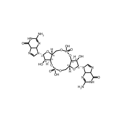 NC1=NC2C(N=CN2[C@@H]2O[C@@H]3COP(=O)(O)O[C@H]4[C@@H](O)[C@H](N5C=NC6C(=O)NC(N)=NC65)O[C@@H]4COP(=O)(O)O[C@H]3[C@H]2O)C(=O)N1